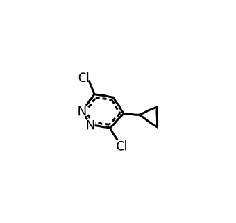 Clc1cc(C2CC2)c(Cl)nn1